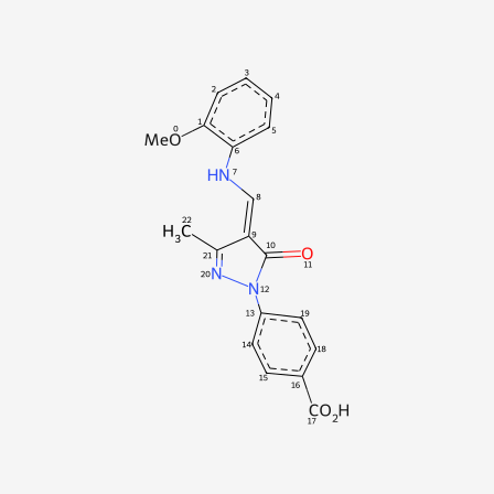 COc1ccccc1NC=C1C(=O)N(c2ccc(C(=O)O)cc2)N=C1C